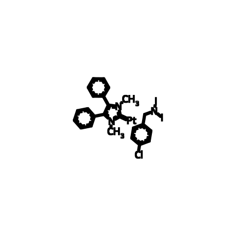 Clc1ccc(CN(I)I)cc1.Cn1c(-c2ccccc2)c(-c2ccccc2)n(C)[c]1=[Pt]